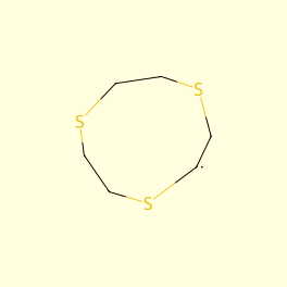 [CH]1CSCCSCCS1